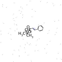 C[Si](C)(C)OC(=O)/C=C/c1ccccc1